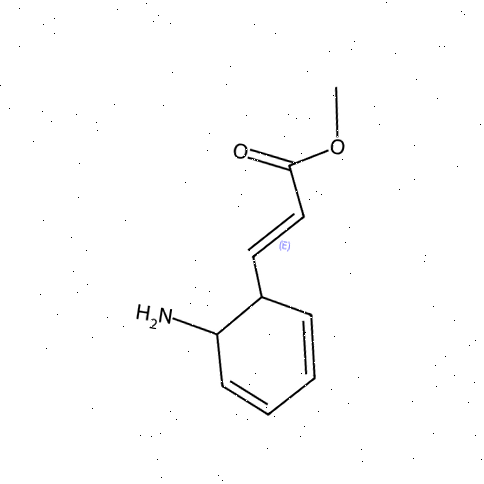 COC(=O)/C=C/C1C=CC=CC1N